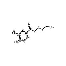 [O]CCCCC(=O)c1ccc(Cl)c(Cl)c1